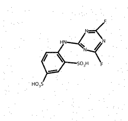 O=S(=O)(O)c1ccc(Nc2nc(F)nc(F)n2)c(S(=O)(=O)O)c1